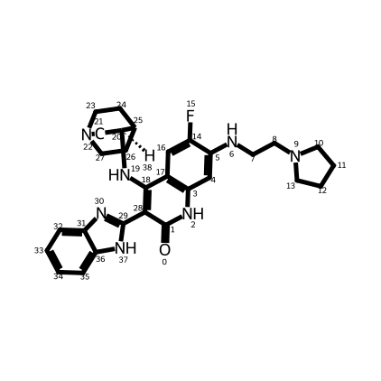 O=c1[nH]c2cc(NCCN3CCCC3)c(F)cc2c(N[C@H]2CN3CCC2CC3)c1-c1nc2ccccc2[nH]1